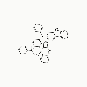 c1ccc(N(c2ccc3c(c2)[Si]2(c4ccccc4Oc4ccccc42)c2ccccc2[SiH]3c2ccccc2)c2ccc3c(c2)oc2ccccc23)cc1